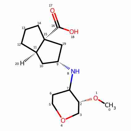 CO[C@@H]1COCCC1N[C@@H]1C[C@H]2CCC[C@@]2(C(=O)O)C1